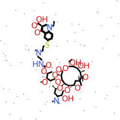 CC[C@H]1OC(=O)[C@H](C)[C@@H](O[C@H]2C[C@@](C)(OC)[C@@H](OC(=O)NCCN(C)CCSc3ccc4c(c3)c(=O)c(C(=O)O)cn4CC)[C@H](C)O2)[C@H](C)[C@@H](O[C@@H]2O[C@H](C)C[C@H](N(C)C)[C@H]2O)[C@@]2(C)C[C@@H](CO2)C(=O)[C@H](C)[C@@H](O)[C@]1(C)O